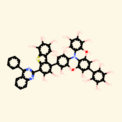 Bc1c(B)c(B)c(-c2c(B)c(B)c(N(c3c(B)c(B)c(B)c(B)c3B)c3c(B)c(B)c(-c4c(B)c(B)c(-c5nc(-c6ccccc6)c6ccccc6n5)c5sc6c(B)c(B)c(B)c(B)c6c45)c(B)c3B)c(B)c2B)c(B)c1B